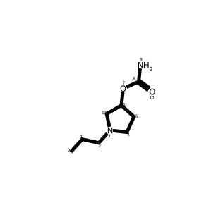 CCCN1CCC(OC(N)=O)C1